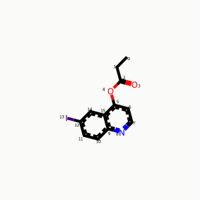 CCC(=O)Oc1ccnc2ccc(I)cc12